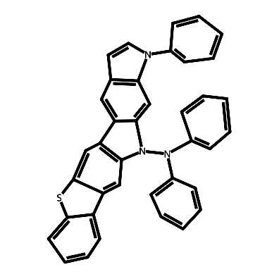 c1ccc(N(c2ccccc2)n2c3cc4c(cc3c3cc5ccn(-c6ccccc6)c5cc32)sc2ccccc24)cc1